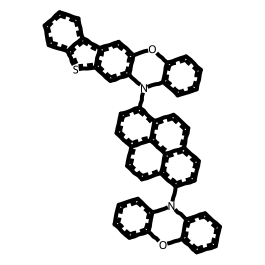 c1ccc2c(c1)Oc1ccccc1N2c1ccc2ccc3c(N4c5ccccc5Oc5cc6c(cc54)sc4ccccc46)ccc4ccc1c2c43